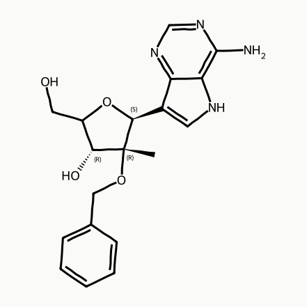 C[C@@]1(OCc2ccccc2)[C@H](O)C(CO)O[C@H]1c1c[nH]c2c(N)ncnc12